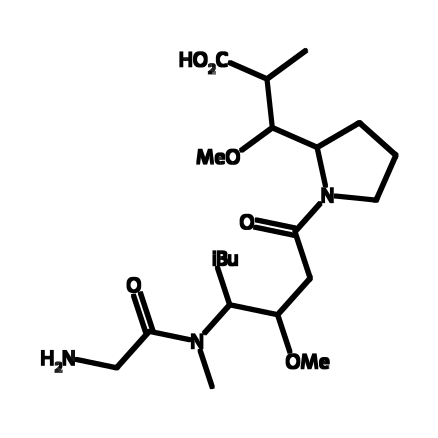 CCC(C)C(C(CC(=O)N1CCCC1C(OC)C(C)C(=O)O)OC)N(C)C(=O)CN